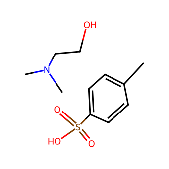 CN(C)CCO.Cc1ccc(S(=O)(=O)O)cc1